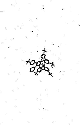 CC(C)(C)c1ccc(-c2cc3c4c(c2-c2ccccc2)-c2cc(C(C)(C)C)cc5c6cc(C(C)(C)C)ccc6n(c25)B4c2cc(C(C)(C)C)cc4c5cc(C(C)(C)C)ccc5n-3c24)cc1